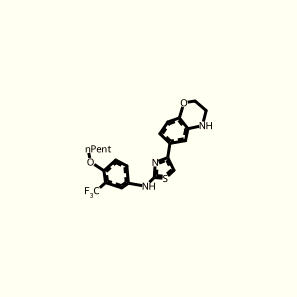 CCCCCOc1ccc(Nc2nc(-c3ccc4c(c3)NCCO4)cs2)cc1C(F)(F)F